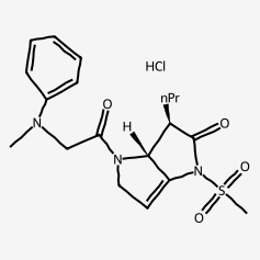 CCC[C@H]1C(=O)N(S(C)(=O)=O)C2=CCN(C(=O)CN(C)c3ccccc3)[C@@H]21.Cl